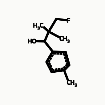 Cc1ccc(C(O)C(C)(C)CF)cc1